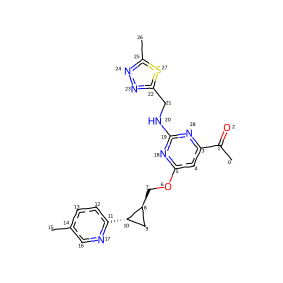 CC(=O)c1cc(OC[C@H]2C[C@@H]2c2ccc(C)cn2)nc(NCc2nnc(C)s2)n1